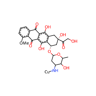 COc1cccc2c1C(=O)c1c(O)c3c(c(O)c1C2=O)C[C@@](O)(C(=O)CO)C[C@@H]3OC1CC([NH][Cu])C(O)C(C)O1